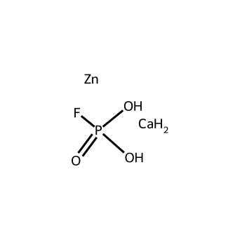 O=P(O)(O)F.[CaH2].[Zn]